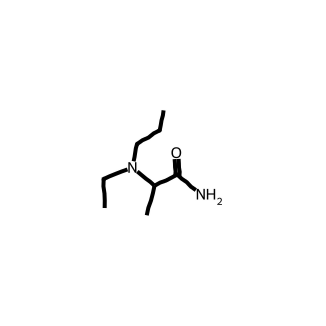 CCCN(CC)C(C)C(N)=O